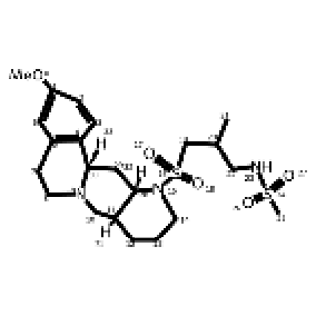 COc1ccc2c(c1)CCN1C[C@H]3CCCN(S(=O)(=O)CC(C)CNS(C)(=O)=O)[C@H]3C[C@@H]21